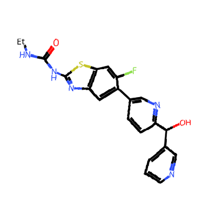 CCNC(=O)Nc1nc2cc(-c3ccc(C(O)c4cccnc4)nc3)c(F)cc2s1